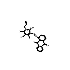 C=CCn1c(O)c(/N=N/c2cccc3c2C(=O)c2ccccc2C3=O)c(C)c(C#N)c1=O